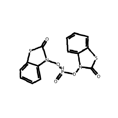 O=c1sc2ccccc2n1O[PH](=O)On1c(=O)sc2ccccc21